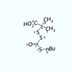 CCCCSC(=O)SSC(C)(C)C(=O)O